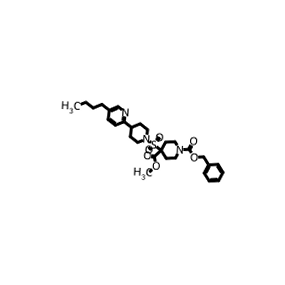 CCCCc1ccc(C2CCN(S(=O)(=O)C3(C(=O)OC)CCN(C(=O)OCc4ccccc4)CC3)CC2)nc1